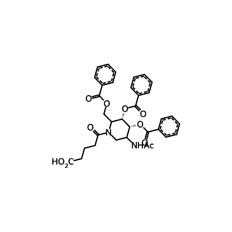 CC(=O)NC1CN(C(=O)CCCC(=O)O)C(COC(=O)c2ccccc2)[C@H](OC(=O)c2ccccc2)[C@@H]1OC(=O)c1ccccc1